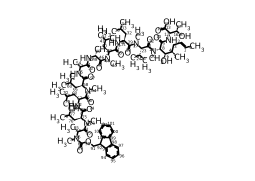 C/C=C/C[C@@H](C)[C@@H](O)[C@@H](C(=O)N[C@H](C(=O)O)[C@@H](C)O)N(C)C(=O)[C@H](C(C)C)N(C)C(=O)[C@H](CC(C)C)NC(=O)[C@H](CC(C)C)N(C)C(=O)[C@@H](C)NC(=O)[C@H](C)NC(=O)[C@H](CC(C)C)N(C)C(=O)[C@H](CC(C)C)NC(=O)[C@H](CC(C)C)N(C)C(=O)[C@@H](C)N(C)C(=O)OCC1c2ccccc2-c2ccccc21